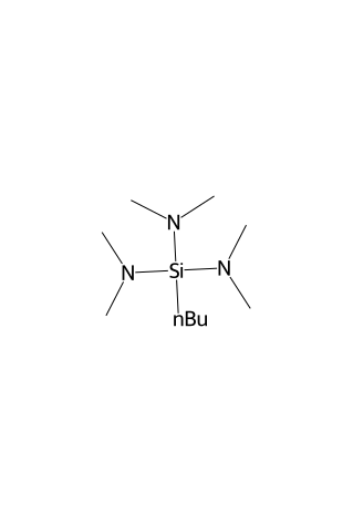 [CH2]CCC[Si](N(C)C)(N(C)C)N(C)C